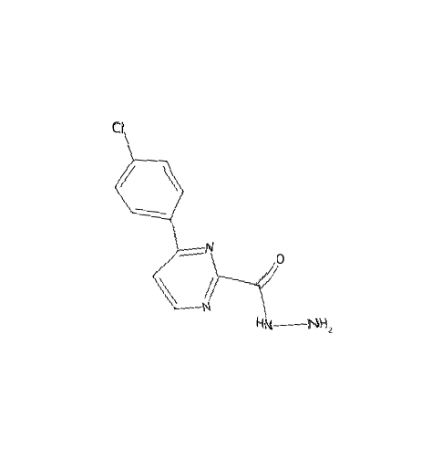 NNC(=O)c1nccc(-c2ccc(Cl)cc2)n1